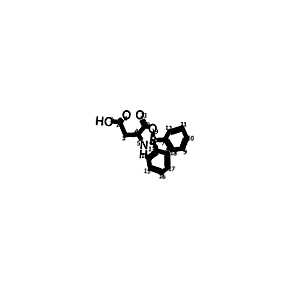 O=C(O)CC1[NH2+][B-](c2ccccc2)(c2ccccc2)OC1=O